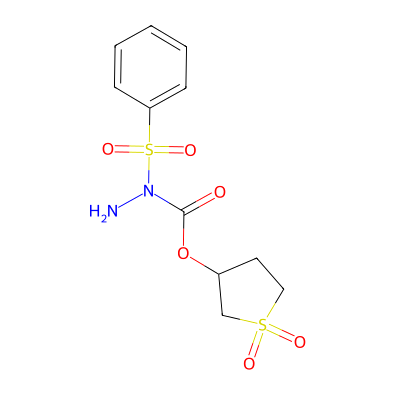 NN(C(=O)OC1CCS(=O)(=O)C1)S(=O)(=O)c1ccccc1